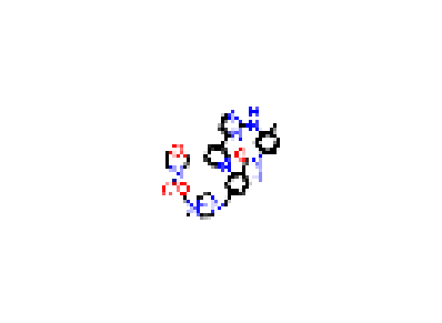 Cc1ccc(NC(=O)c2ccc(CN3CC[N+](C)(COC(=O)N4CCOCC4)CC3)cc2)cc1Nc1nccc(-c2cccnc2)n1.[I-]